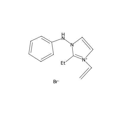 C=C[n+]1ccn(Nc2ccccc2)c1CC.[Br-]